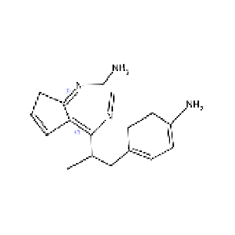 C=N/C(=C1/C=CC/C1=N/CN)C(C)CC1=CC=C(N)CC1